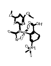 COc1cc(OC)nc(N(C(N)=O)S(=O)(=O)c2cc(NS(C)(=O)=O)ccc2C(=O)O)n1